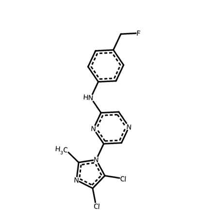 Cc1nc(Cl)c(Cl)n1-c1cncc(Nc2ccc(CF)cc2)n1